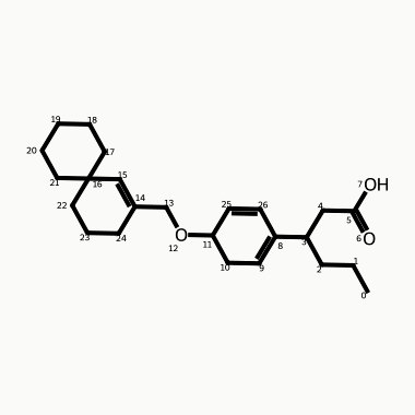 CCCC(CC(=O)O)C1=CCC(OCC2=CC3(CCCCC3)CCC2)C=C1